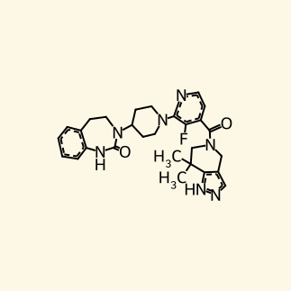 CC1(C)CN(C(=O)c2ccnc(N3CCC(N4CCc5ccccc5NC4=O)CC3)c2F)Cc2cn[nH]c21